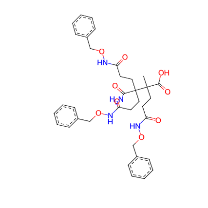 CC(CCC(=O)NOCc1ccccc1)(C(=O)O)C(CCC(=O)NOCc1ccccc1)(CCC(=O)NOCc1ccccc1)C(N)=O